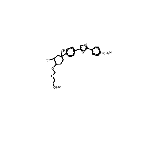 CCC1CC(C)(c2ccc(-c3cnc(-c4ccc(C(=O)O)cc4)s3)cc2)CCC1OCOCCOC